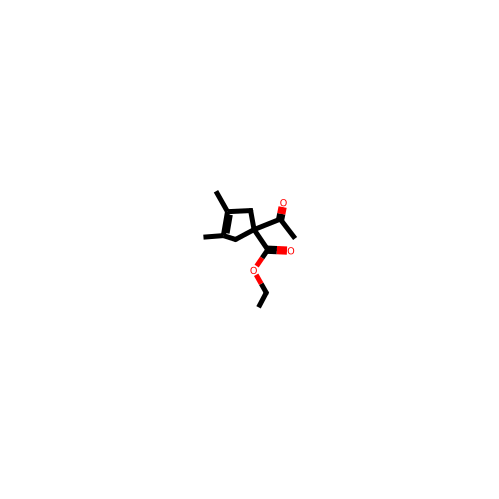 CCOC(=O)C1(C(C)=O)CC(C)=C(C)C1